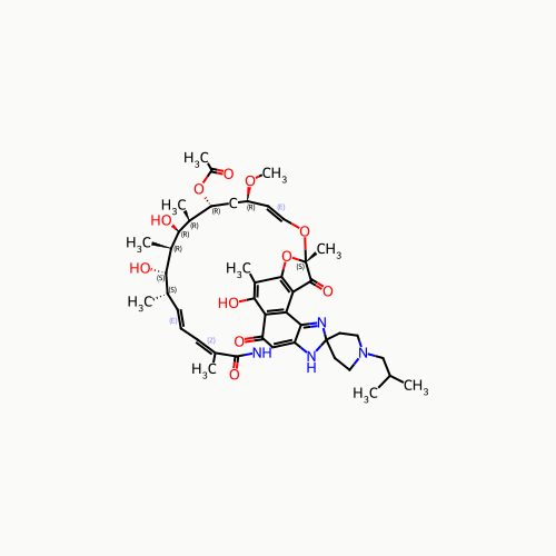 CO[C@H]1/C=C/O[C@@]2(C)Oc3c(C)c(O)c4c(c3C2=O)C2=NC3(CCN(CC(C)C)CC3)NC2=C(NC(=O)/C(C)=C\C=C\[C@H](C)[C@H](O)[C@@H](C)[C@@H](O)[C@@H](C)[C@H](OC(C)=O)C1)C4=O